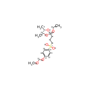 CCO[Si](CCCS(=O)(=O)c1ccc(OCOC)cc1)(OCC)OCC